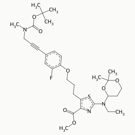 CCN(c1nc(C(=O)OC)c(CCCOc2ccc(C#CCN(C)C(=O)OC(C)(C)C)cc2F)s1)C1CCOC(C)(C)O1